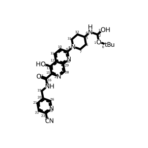 CC(C)(C)OC(O)NC1CCN(c2ccc3c(O)c(C(=O)NCc4ccc(C#N)nc4)ncc3n2)CC1